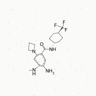 CNc1cc(N2CCC2)c(C(=O)N[C@H]2CC[C@H](C(F)(F)F)CC2)cc1N